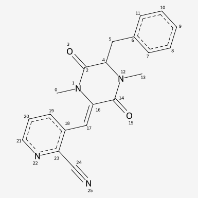 CN1C(=O)C(Cc2ccccc2)N(C)C(=O)C1=Cc1cccnc1C#N